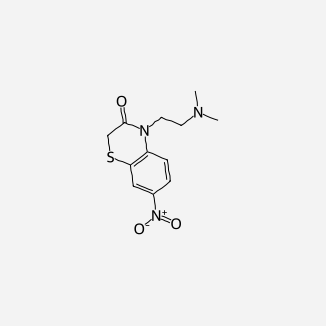 CN(C)CCN1C(=O)CSc2cc([N+](=O)[O-])ccc21